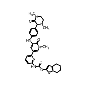 CN1CCN(C)C(c2ccc(Nc3nc(-c4cccc(NC(=O)Oc5cc6c(s5)CCCC6)n4)cn(C)c3=O)cc2)C1=O